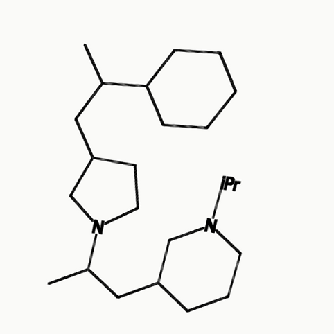 CC(CC1CCN(C(C)CC2CCCN(C(C)C)C2)C1)C1CCCCC1